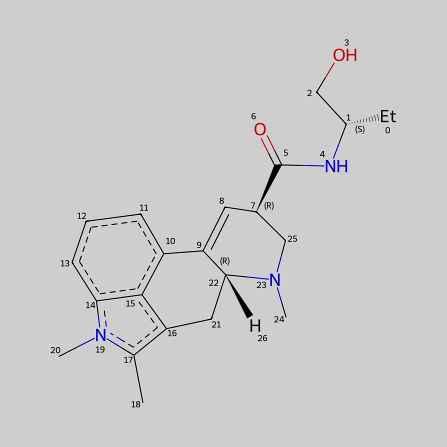 CC[C@@H](CO)NC(=O)[C@@H]1C=C2c3cccc4c3c(c(C)n4C)C[C@H]2N(C)C1